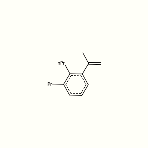 C=C(C)c1cccc(C(C)C)c1CCC